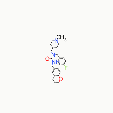 CN1CCC(CN(Cc2ccc(F)cc2)C(=O)NCc2ccc3c(c2)CCCO3)CC1